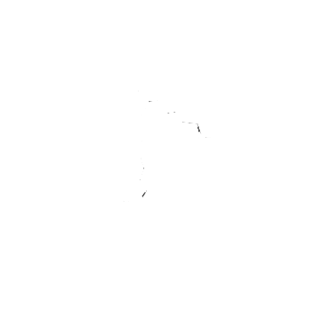 C=CCCCCCCCC(CCCCC=C)C(=O)O